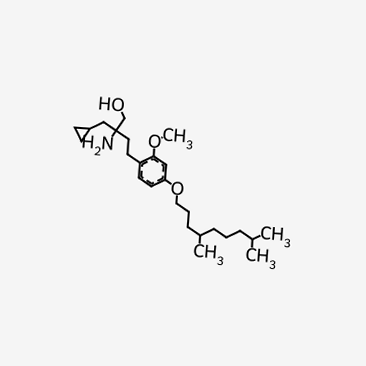 COc1cc(OCCCC(C)CCCC(C)C)ccc1CCC(N)(CO)CC1CC1